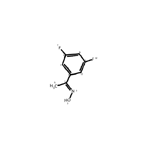 CC(=NO)c1cc(F)cc(F)c1